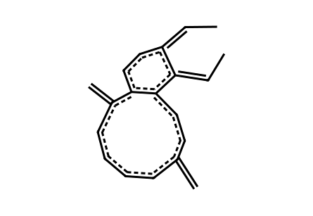 C=c1ccccc(=C)c2ccc(=C/C)/c(=C\C)c2cc1